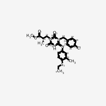 CCSc1ccc(/N=c2\[nH]c(=O)n(C[C@H](C)C(=O)OC)c(=O)n2Cc2ccc(Cl)cc2)cc1C